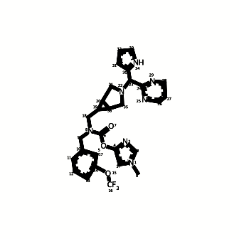 Cn1cnc(OC(=O)N(Cc2cccc(OC(F)(F)F)c2)CC2C3CN(C(c4ncccn4)c4ccc[nH]4)CC23)c1